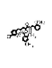 COc1ccccc1CNC(=O)C=CC(Cc1ccc(Cl)cc1)N(C)C(=O)c1ccc(C)cc1C